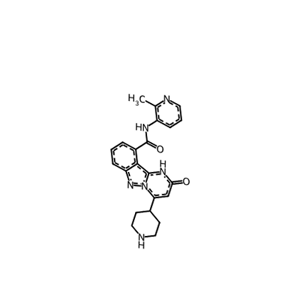 Cc1ncccc1NC(=O)c1cccc2nn3c(C4CCNCC4)cc(=O)[nH]c3c12